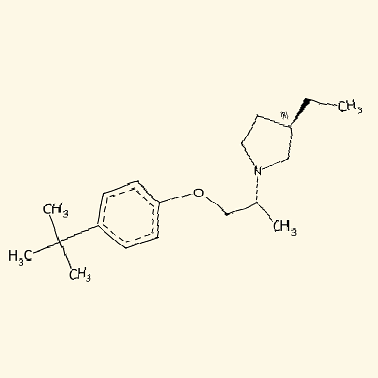 CC[C@@H]1CCN(C(C)COc2ccc(C(C)(C)C)cc2)C1